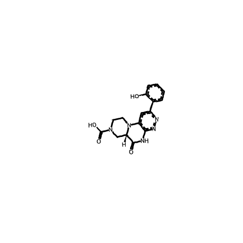 O=C1Nc2nnc(-c3ccccc3O)cc2N2CCN(C(=O)O)C[C@@H]12